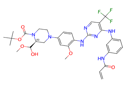 C=CC(=O)Nc1cccc(Nc2nc(Nc3ccc(N4CCN(C(=O)OC(C)(C)C)[C@H](C(O)OC)C4)cc3OC)ncc2C(F)(F)F)c1